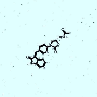 CC(=O)NC[C@H]1CN(c2ccc(/C=C3/C(=O)Nc4ccccc43)cc2)C(=O)O1